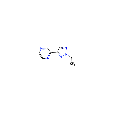 FC(F)(F)Cn1ncc(-c2cnccn2)n1